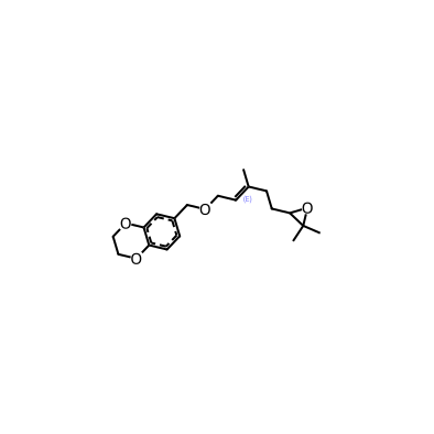 C/C(=C\COCc1ccc2c(c1)OCCO2)CCC1OC1(C)C